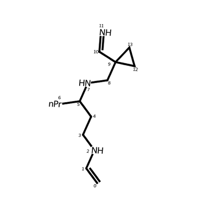 C=CNCCC(CCC)NCC1(C=N)CC1